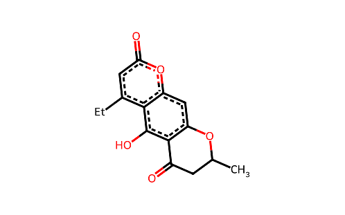 CCc1cc(=O)oc2cc3c(c(O)c12)C(=O)CC(C)O3